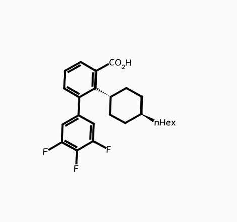 CCCCCC[C@H]1CC[C@H](c2c(C(=O)O)cccc2-c2cc(F)c(F)c(F)c2)CC1